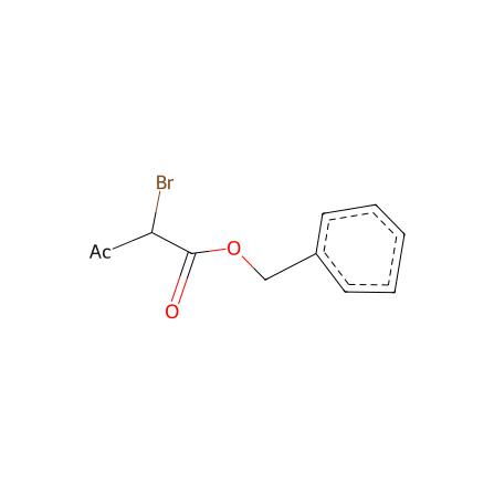 CC(=O)C(Br)C(=O)OCc1ccccc1